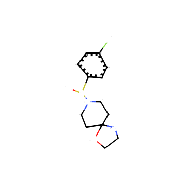 [O-][S+](c1ccc(F)cc1)N1CCC2(CC1)NCCO2